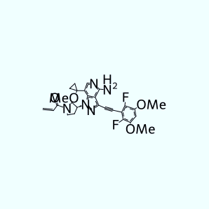 C=CC(=O)N1CC[C@H](n2nc(C#Cc3c(F)c(OC)cc(OC)c3F)c3c(N)ncc(C4(OC)CC4)c32)C1